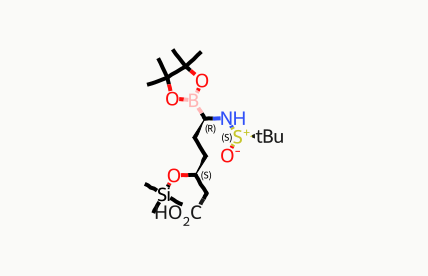 CC(C)(C)[S@@+]([O-])N[C@@H](CC[C@@H](CC(=O)O)O[Si](C)(C)C)B1OC(C)(C)C(C)(C)O1